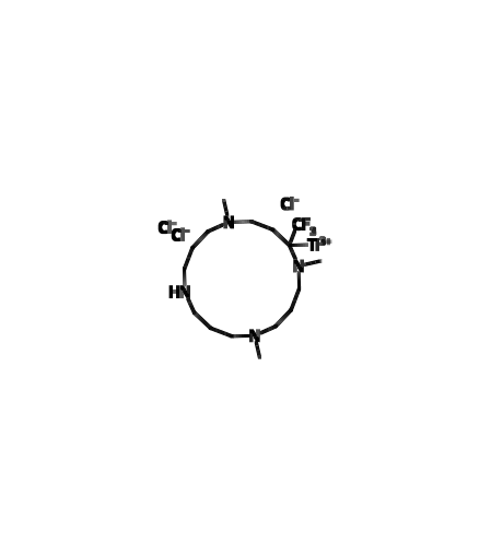 CN1CCCNCCCN(C)CC[C]([Ti+3])(C(F)(F)F)N(C)CCC1.[Cl-].[Cl-].[Cl-]